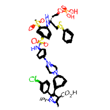 Cc1c(C(=O)O)c(-c2cccc(N3CCN(c4ccc(NS(=O)(=O)c5ccc(N[C@H](CCOP(=O)(O)O)CSc6ccccc6)c(S(C)(=O)=O)c5)cc4)CC3)c2)c(-c2ccc(Cl)cc2)n1C(C)C